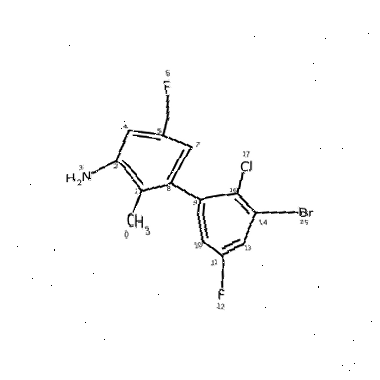 Cc1c(N)cc(F)cc1-c1cc(F)cc(Br)c1Cl